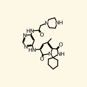 Cc1cc(Nc2cc(NC(=O)CN3CCNCC3)ncn2)c(=O)n2c1C(=O)NC21CCCCC1